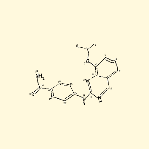 CC(C)Oc1cccc2cnc(Nc3ccc(C(N)=O)cc3)nc12